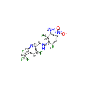 Nc1c([N+](=O)[O-])cc(F)c(NCc2ncc(C(F)(F)F)cc2F)c1F